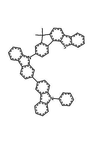 CC1(C)c2cc(-n3c4ccccc4c4ccc(-c5ccc6c(c5)c5ccccc5n6-c5ccccc5)cc43)ccc2-c2c1ccc1c2sc2ccccc21